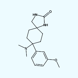 COc1cccc(C2(N(C)C)CCC3(CC2)CNC(=O)N3)c1